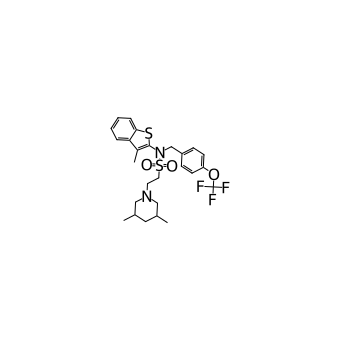 Cc1c(N(Cc2ccc(OC(F)(F)F)cc2)S(=O)(=O)CCN2CC(C)CC(C)C2)sc2ccccc12